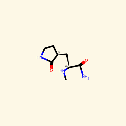 CN[C@@H](C[C@@H]1CCNC1=O)C(N)=O